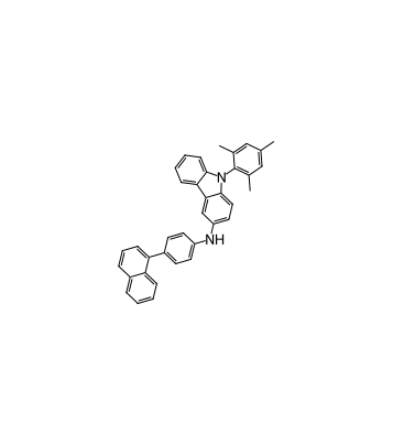 Cc1cc(C)c(-n2c3ccccc3c3cc(Nc4ccc(-c5cccc6ccccc56)cc4)ccc32)c(C)c1